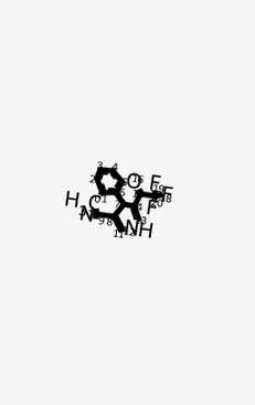 Cc1ccccc1C1C(C#N)=CNC=C1C(=O)C(F)(F)F